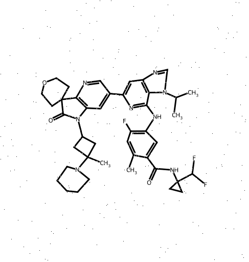 Cc1cc(F)c(Nc2nc(-c3cnc4c(c3)N(C3CC(C)(N5CCCCC5)C3)C(=O)C43CCOCC3)cc3ncn(C(C)C)c23)cc1C(=O)NC1(C(F)F)CC1